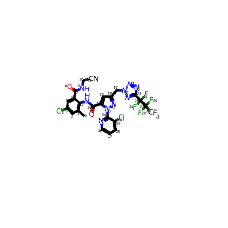 Cc1cc(Cl)cc(C(=O)NCC#N)c1NC(=O)c1cc(Cn2nnc(C(F)(F)C(F)(F)C(F)(F)F)n2)nn1-c1ncccc1Cl